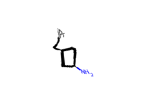 CC(C)C[C@H]1C[C@@H](N)C1